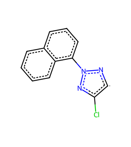 Clc1[c]nn(-c2cccc3ccccc23)n1